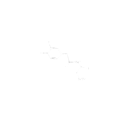 CNCC(C)NC(=O)Cc1ccc(F)c(F)c1